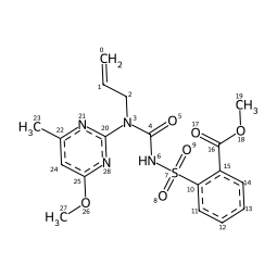 C=CCN(C(=O)NS(=O)(=O)c1ccccc1C(=O)OC)c1nc(C)cc(OC)n1